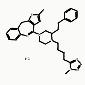 Cc1cc2c(s1)Cc1ccccc1N=C2N1CCN(CCCCc2nnnn2C)C(CCc2ccccc2)C1.Cl